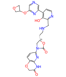 O=C1COc2ccc(N3C[C@H](CCNCc4nccc(-c5cncc(OC6COC6)n5)c4O)OC3=O)nc2N1